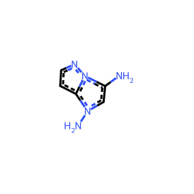 Nc1cn(N)c2ccnn12